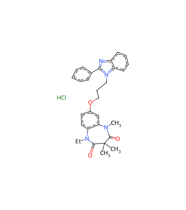 CCN1C(=O)C(C)(C)C(=O)N(C)c2cc(OCCCn3c(-c4ccccc4)nc4ccccc43)ccc21.Cl